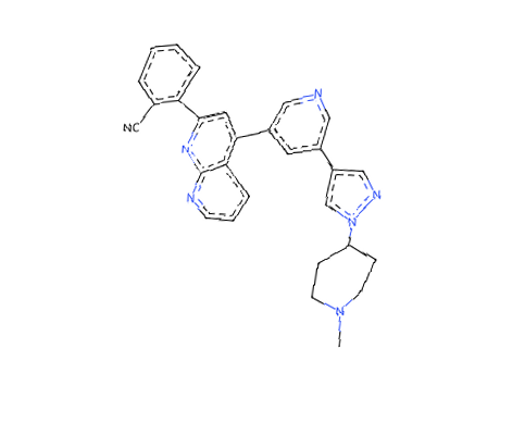 CN1CCC(n2cc(-c3cncc(-c4cc(-c5ccccc5C#N)nc5ncccc45)c3)cn2)CC1